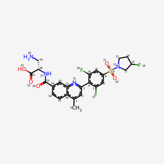 Cc1cc(-c2c(F)cc(S(=O)(=O)N3CCC(F)C3)cc2F)nc2cc(C(=O)N[C@@H](CN)C(=O)O)ccc12